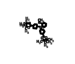 CC1(C)OB(c2ccc(Nc3ccc(B4OC(C)(C)C(C)(C)O4)cc3)cc2)OC1(C)C.COc1ccccc1